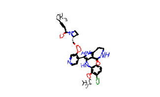 CC#CC(=O)N1CC[C@@H]1COc1cnccc1-c1[nH]c2c(c1Nc1cccc(Cl)c1OC)C(=O)NCC2